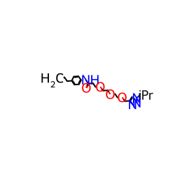 C=CCc1ccc(NC(=O)CCOCCOCCOCc2cn(C(C)C)nn2)cc1